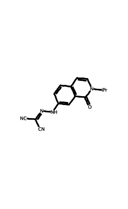 CC(C)n1ccc2ccc(NN=C(C#N)C#N)cc2c1=O